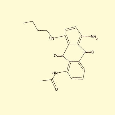 CCCCNc1ccc(N)c2c1C(=O)c1c(NC(C)=O)cccc1C2=O